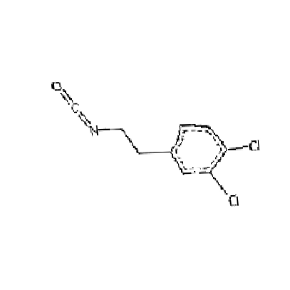 O=C=NCCc1ccc(Cl)c(Cl)c1